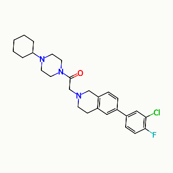 O=C(CN1CCc2cc(-c3ccc(F)c(Cl)c3)ccc2C1)N1CCN(C2CCCCC2)CC1